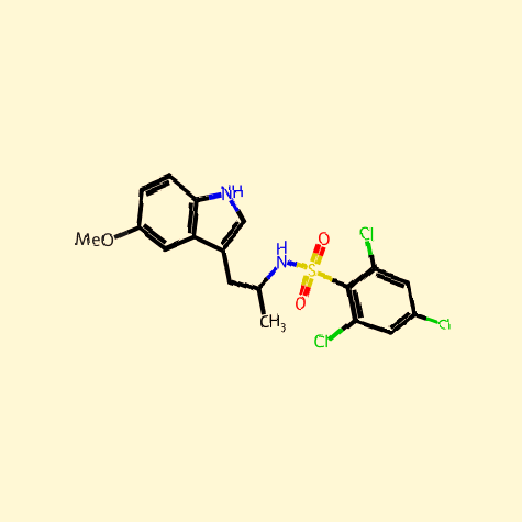 COc1ccc2[nH]cc(CC(C)NS(=O)(=O)c3c(Cl)cc(Cl)cc3Cl)c2c1